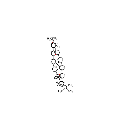 COC1=CC=C(C2=CC=C(C3=CC4=C(CC3)c3ccc(C5=CC=C(/C(C)=C/C=C(\C)OC)CC5)cc3C43C4=C(CCC(C5=CC=C(C6=CC=C(OC)C7C[C@H]67)C6C[C@H]56)=C4)c4ccc(-c5ccc(-c6ccc(OC)cc6)cc5)cc43)CC2)[C@H]2CC12